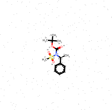 C[C@@H](c1ccccc1)N(C(=O)OC(C)(C)C)S(C)(=O)=O